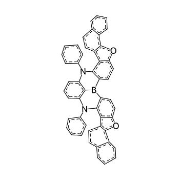 c1ccc(N2c3cccc4c3B(c3ccc5oc6c7ccccc7ccc6c5c32)c2ccc3oc5c6ccccc6ccc5c3c2N4c2ccccc2)cc1